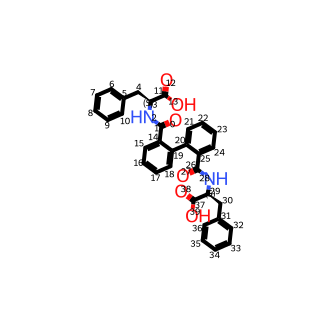 O=C(N[C@@H](Cc1ccccc1)C(=O)O)c1ccccc1-c1ccccc1C(=O)N[C@@H](Cc1ccccc1)C(=O)O